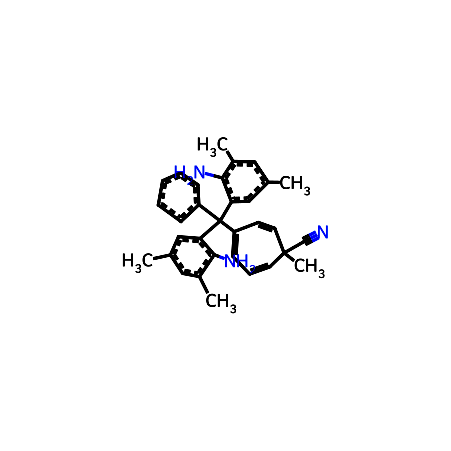 Cc1cc(C)c(N)c(C(C2=CC=CC(C)(C#N)C=C2)(c2ccccc2)c2cc(C)cc(C)c2N)c1